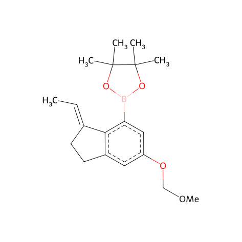 C/C=C1\CCc2cc(OCOC)cc(B3OC(C)(C)C(C)(C)O3)c21